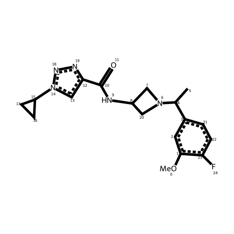 COc1cc(C(C)N2CC(NC(=O)c3cn(C4CC4)nn3)C2)ccc1F